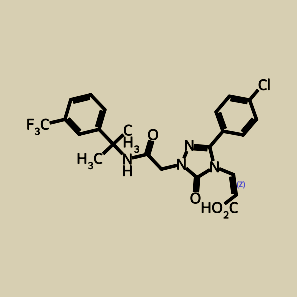 CC(C)(NC(=O)Cn1nc(-c2ccc(Cl)cc2)n(/C=C\C(=O)O)c1=O)c1cccc(C(F)(F)F)c1